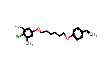 C=Cc1ccc(OCCCCCCOc2cc(C)c(Br)c(C)c2)cc1